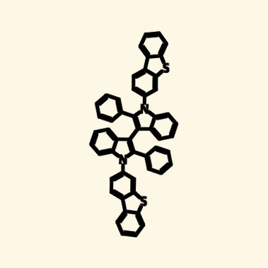 c1ccc(-c2c(-c3c(-c4ccccc4)n(-c4ccc5c(c4)sc4ccccc45)c4ccccc34)c3ccccc3n2-c2ccc3c(c2)sc2ccccc23)cc1